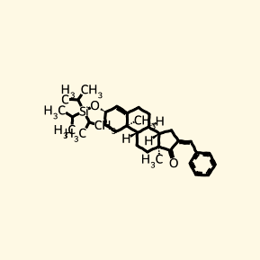 CC(C)[Si](O[C@@H]1C=C2CC[C@@H]3[C@H](CC[C@]4(C)C(=O)/C(=C\c5ccccc5)C[C@@H]34)[C@@]2(C)CC1)(C(C)C)C(C)C